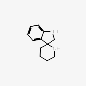 c1ccc2c(c1)NCC21CCCCN1